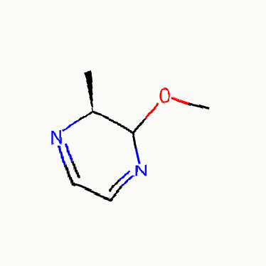 COC1N=CC=N[C@H]1C